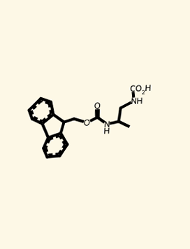 CC(CNC(=O)O)NC(=O)OCC1c2ccccc2-c2ccccc21